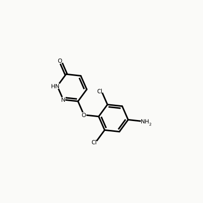 Nc1cc(Cl)c(Oc2ccc(=O)[nH]n2)c(Cl)c1